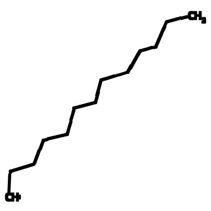 [CH]CCCCCCCCCCCC